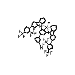 N#Cc1cccc(-c2cc(-n3c4ccccc4c4ccc(-c5ccc(C(F)(F)F)cc5C(F)(F)F)cc43)c(C(F)(F)F)c(-n3c4ccccc4c4ccc(-c5ccc(C(F)(F)F)cc5C(F)(F)F)cc43)c2)c1